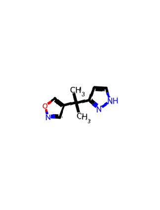 CC(C)(c1[c]noc1)c1cc[nH]n1